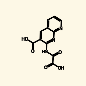 O=C(O)C(=O)Nc1nc2ncccc2cc1C(=O)O